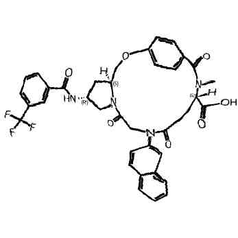 CN1C(=O)c2ccc(cc2)OC[C@@H]2C[C@@H](NC(=O)c3cccc(C(F)(F)F)c3)CN2C(=O)CN(c2ccc3ccccc3c2)C(=O)CC[C@H]1C(=O)O